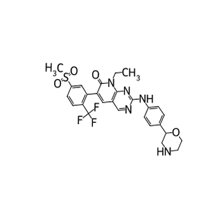 CCn1c(=O)c(-c2cc(S(C)(=O)=O)ccc2C(F)(F)F)cc2cnc(Nc3ccc(C4CNCCO4)cc3)nc21